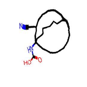 N#CC1CCCCCC2CCCCCCCC(NC(=O)O)(CCCCCCC2)C1